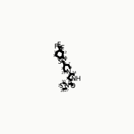 O=C([C@@H]1C[C@H](N2CCC(c3nc4cc(C(F)(F)F)ccc4s3)CC2)CN1)N1CCSC1